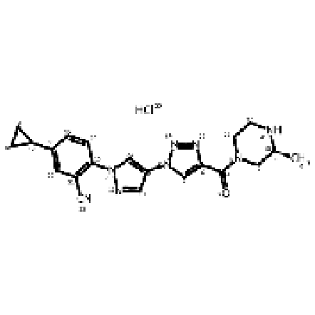 C[C@H]1CN(C(=O)c2cn(-c3cnn(-c4ccc(C5CC5)cc4C#N)c3)nn2)CCN1.Cl